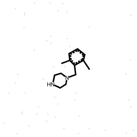 Cc1cccc(C)c1CN1CCNCC1